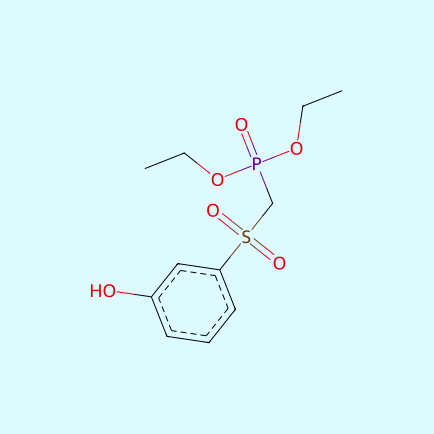 CCOP(=O)(CS(=O)(=O)c1cccc(O)c1)OCC